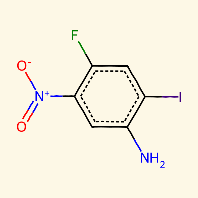 Nc1cc([N+](=O)[O-])c(F)cc1I